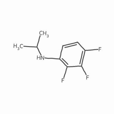 CC(C)Nc1ccc(F)c(F)c1F